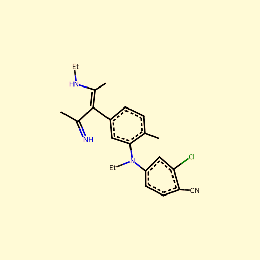 CCN/C(C)=C(\C(C)=N)c1ccc(C)c(N(CC)c2ccc(C#N)c(Cl)c2)c1